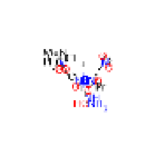 CNCC(C)(C)CN(C)C(=O)OCc1ccc(NC(=O)C(CCCNC(N)O)NC(=O)[C@@H](NC(=O)CCCCCN2C(=O)C=CC2=O)C(C)C)cc1